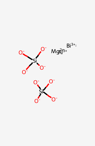 [Al+3].[Bi+3].[Mg+2].[O-][Si]([O-])([O-])[O-].[O-][Si]([O-])([O-])[O-]